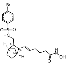 O=C(CCCC=C[C@@H]1[C@H]2CC[C@H](C2)[C@H]1CNS(=O)(=O)c1ccc(Br)cc1)NO